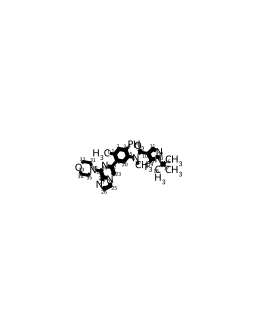 Cc1cc(P)c(N(C)C(=O)c2cnn(C(C)(C)C)c2F)cc1-c1cn2ccnc2c(N2CCOCC2)n1